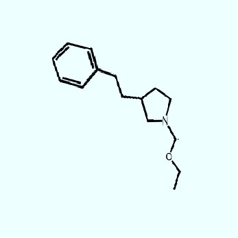 CCO[CH]N1CCC(CCc2ccccc2)C1